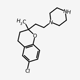 CC1(CCN2CCNCC2)CCc2cc(Cl)ccc2O1